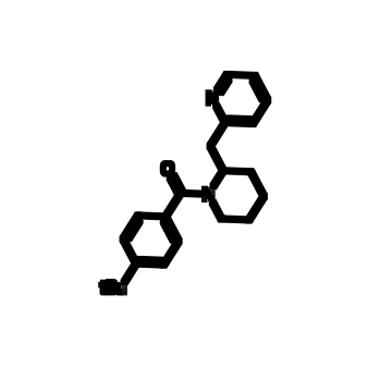 CC(C)(C)c1ccc(C(=O)N2CCCCC2Cc2ccccn2)cc1